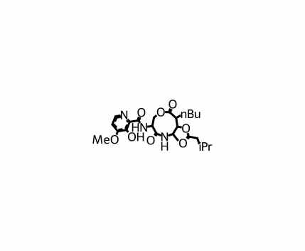 CCCCC1C(=O)OCC(NC(=O)c2nccc(OC)c2O)C(=O)NC(C)C1OC(=O)CC(C)C